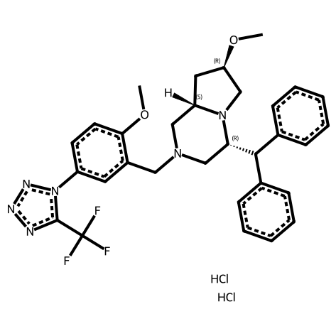 COc1ccc(-n2nnnc2C(F)(F)F)cc1CN1C[C@@H]2C[C@@H](OC)CN2[C@H](C(c2ccccc2)c2ccccc2)C1.Cl.Cl